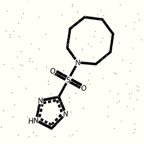 O=S(=O)(c1nc[nH]n1)N1CCCCCCC1